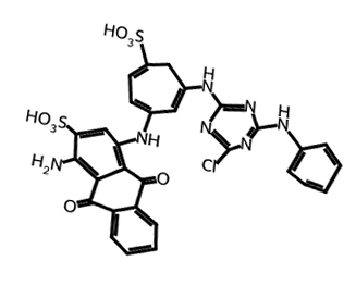 Nc1c(S(=O)(=O)O)cc(NC2=CC=C(S(=O)(=O)O)CC(Nc3nc(Cl)nc(Nc4ccccc4)n3)=C2)c2c1C(=O)c1ccccc1C2=O